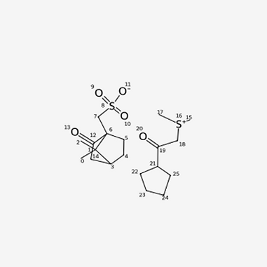 CC1(C)C2CCC1(CS(=O)(=O)[O-])C(=O)C2.C[S+](C)CC(=O)C1CCCC1